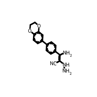 N#C/C(NN)=C(/N)c1ccc(-c2ccc3c(c2)OCCO3)cc1